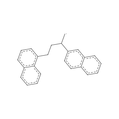 [CH2]C(CCc1cccc2ccccc12)c1ccc2ccccc2c1